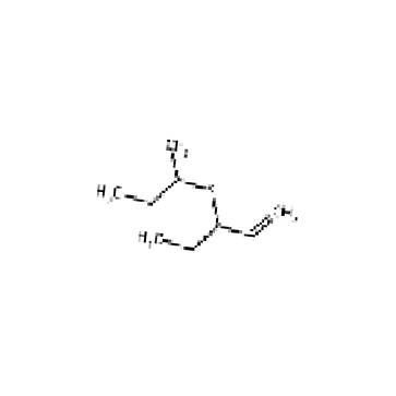 C=CC(CC)SC(C)CC